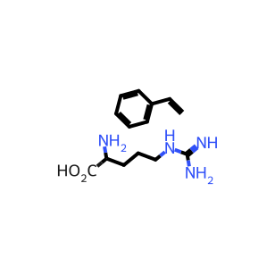 C=Cc1ccccc1.N=C(N)NCCCC(N)C(=O)O